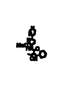 COc1nc(-c2ccncn2)ccc1NC(=O)c1c(-c2ccccc2)noc1C